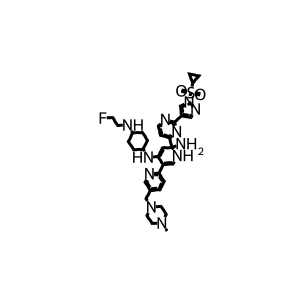 CN1CCN(Cc2ccc(C3=CNC(N)(c4ccnc(-c5cnn(S(=O)(=O)C6CC6)c5)n4)C=C3NC3CCC(NCCF)CC3)nc2)CC1